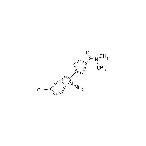 CN(C)C(=O)c1ccc(-c2cc3cc(Cl)ccc3n2N)cc1